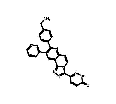 NCc1ccc(-c2nc3ccn4c(-c5ccc(=O)[nH]n5)nnc4c3cc2-c2ccccc2)cc1